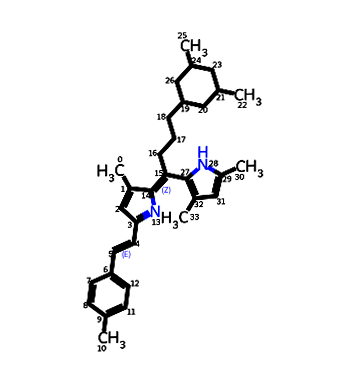 CC1=CC(/C=C/c2ccc(C)cc2)=NC/1=C(/CCCC1CC(C)CC(C)C1)c1[nH]c(C)cc1C